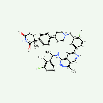 Cc1c(F)cccc1[C@@H](C)Nc1nnc(C)c2cnc(-c3ccc(F)c(CN4CCC(c5ccc([C@@]6(C)CCC(=O)NC6=O)cc5)CC4)c3)cc12